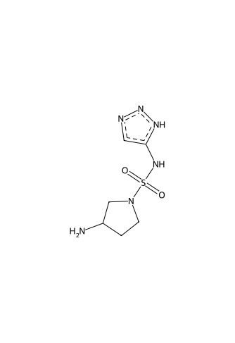 NC1CCN(S(=O)(=O)Nc2cnn[nH]2)C1